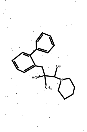 CC(O)(Cc1ccccc1-c1ccccc1)C(O)N1CCCCC1